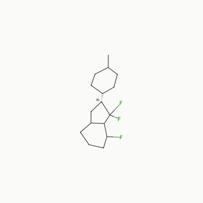 CC1CCC([C@H]2CC3CCCC(F)C3C2(F)F)CC1